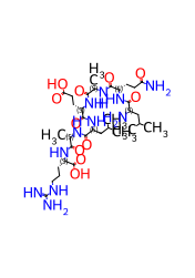 CC(C)C[C@H](NC(=O)[C@H](CCC(=O)O)NC(=O)[C@H](C)NC(=O)[C@H](CCC(N)=O)NC(=O)[C@@H](N)CC(C)C)C(=O)N[C@@H](C)C(=O)N[C@@H](CCCNC(=N)N)C(=O)O